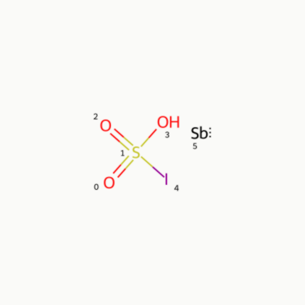 O=S(=O)(O)I.[Sb]